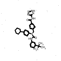 CC(C)(C)c1cccc(NC(=O)N(Cc2ccc(C(=O)Nc3nn[nH]n3)cc2)c2ccc(C3CCCCC3)cc2)c1